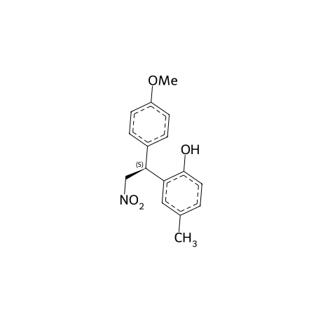 COc1ccc([C@H](C[N+](=O)[O-])c2cc(C)ccc2O)cc1